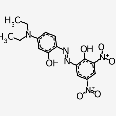 CCN(CC)c1ccc(N=Nc2cc([N+](=O)[O-])cc([N+](=O)[O-])c2O)c(O)c1